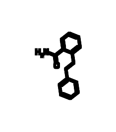 NC(=O)c1ccccc1CCc1ccccc1